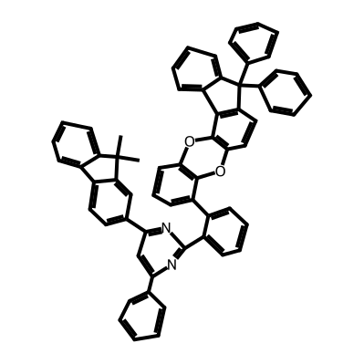 CC1(C)c2ccccc2-c2ccc(-c3cc(-c4ccccc4)nc(-c4ccccc4-c4cccc5c4Oc4ccc6c(c4O5)-c4ccccc4C6(c4ccccc4)c4ccccc4)n3)cc21